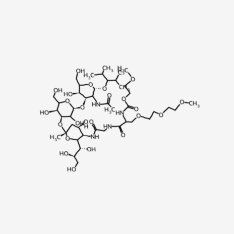 COCCOCCOCC(NC(=O)OCCOC)C(=O)NCC(=O)N[C@H]1C([C@H](O)[C@H](O)CO)O[C@](C)(O[C@@H]2C(O)[C@H](O[C@@H]3C(NC(C)=O)[C@@H](OC(C(C)C)C(C)C)OC(CO)[C@@H]3O)OC(CO)[C@@H]2O)C[C@H]1O